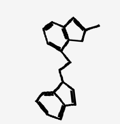 CC1=Cc2cccc(CCC3C=Cc4ccccc43)c2C1